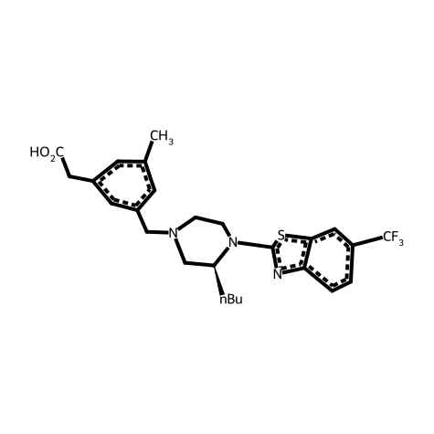 CCCC[C@H]1CN(Cc2cc(C)cc(CC(=O)O)c2)CCN1c1nc2ccc(C(F)(F)F)cc2s1